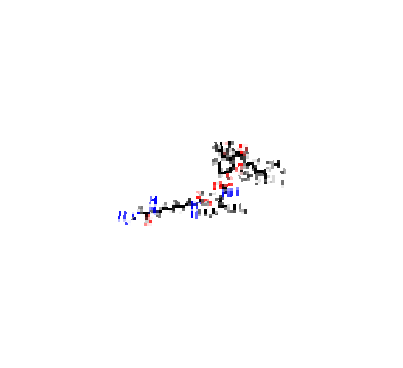 COC1C(OC(=O)N[C@@H](COC(=O)NCCCCCCNC(=O)CN)C(C)C)CC[C@]2(CO2)C1[C@@]1(C)O[C@@H]1CCC=C(C)C